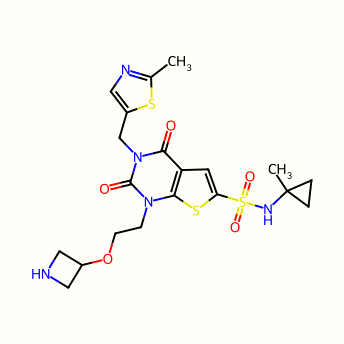 Cc1ncc(Cn2c(=O)c3cc(S(=O)(=O)NC4(C)CC4)sc3n(CCOC3CNC3)c2=O)s1